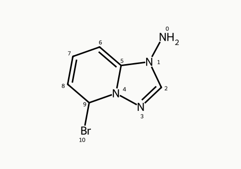 NN1C=NN2C1=CC=CC2Br